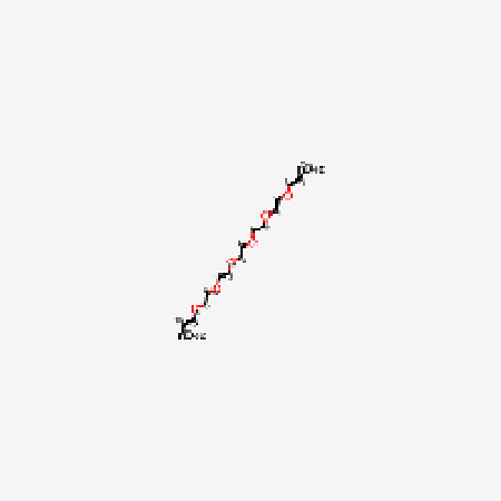 CCCCCCCCCCCCOCCOCCOCCOCCOCCOCCCCCCCCCCCC